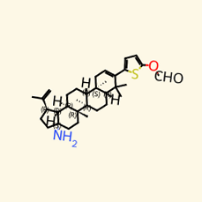 C=C(C)[C@@H]1CC[C@]2(N)CC[C@]3(C)[C@H](CC[C@@H]4[C@@]5(C)CC=C(c6ccc(OC=O)s6)C(C)(C)[C@@H]5CC[C@]43C)[C@@H]12